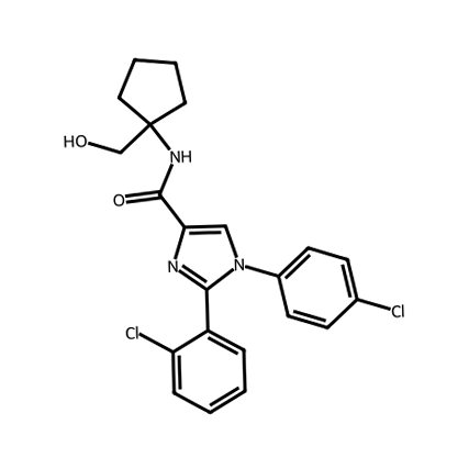 O=C(NC1(CO)CCCC1)c1cn(-c2ccc(Cl)cc2)c(-c2ccccc2Cl)n1